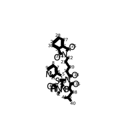 CNC(=O)[C@@](Cc1cccnc1)(SC(C)=O)N(C(=O)CCCCN1C(=O)c2ccccc2C1=O)C(=O)[C@@H](N)CC(C)C